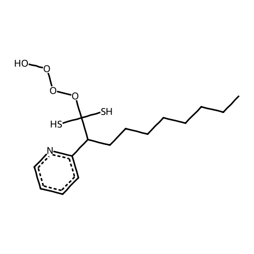 CCCCCCCCC(c1ccccn1)C(S)(S)OOOO